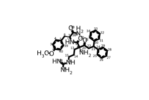 COc1ccc(C[C@H](NC(=O)[C@](N)(CCCNC(=N)N)C(=O)CC(c2ccccc2)c2ccccc2)C(N)=O)cc1